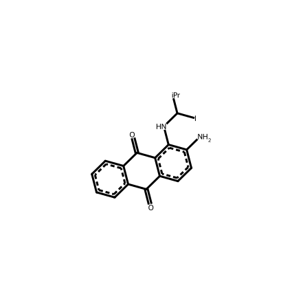 CC(C)C(I)Nc1c(N)ccc2c1C(=O)c1ccccc1C2=O